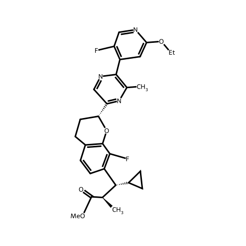 CCOc1cc(-c2ncc([C@H]3CCc4ccc([C@H](C5CC5)[C@@H](C)C(=O)OC)c(F)c4O3)nc2C)c(F)cn1